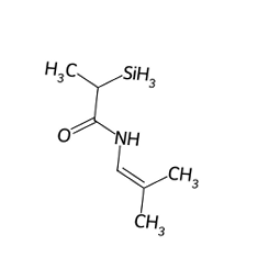 CC(C)=CNC(=O)C(C)[SiH3]